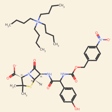 CC1(C)S[C@@H]2[C@H](NC(=O)C(NC(=O)OCc3ccc([N+](=O)[O-])cc3)c3ccc(O)cc3)C(=O)N2[C@H]1C(=O)[O-].CCCC[N+](CCCC)(CCCC)CCCC